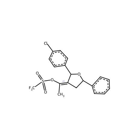 C/C(OS(=O)(=O)C(F)(F)F)=C1\CC(c2ccccc2)OC1c1ccc(Cl)cc1